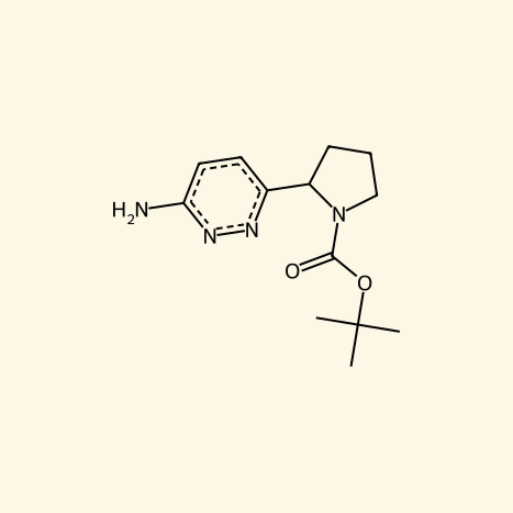 CC(C)(C)OC(=O)N1CCCC1c1ccc(N)nn1